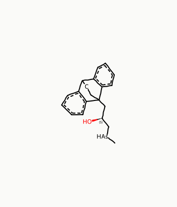 C[AsH]C[C@@H](O)CC12CCC(c3ccccc31)c1ccccc12